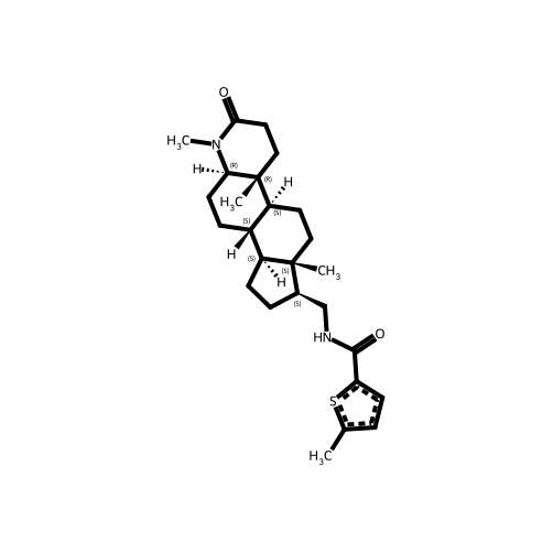 Cc1ccc(C(=O)NC[C@H]2CC[C@H]3[C@@H]4CC[C@H]5N(C)C(=O)CC[C@]5(C)[C@H]4CC[C@]23C)s1